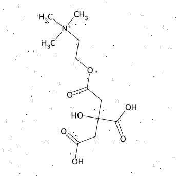 C[N+](C)(C)CCOC(=O)CC(O)(CC(=O)O)C(=O)O